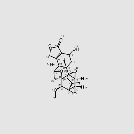 CO[C@@H]1[C@@]2(C(C)C)O[C@H]2[C@@H]2O[C@@]23[C@@]2(C)CC(O)C4=C(COC4=O)[C@@H]2C2C[C@@]13O2